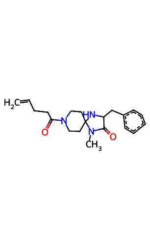 C=CCCC(=O)N1CCC2(CC1)NC(Cc1ccccc1)C(=O)N2C